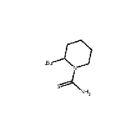 CC(C)(C)C1CCCCN1C(N)=S